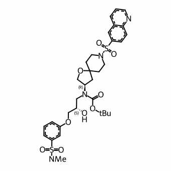 CNS(=O)(=O)c1cccc(OC[C@@H](O)CN(C(=O)OC(C)(C)C)[C@H]2COC3(CCN(S(=O)(=O)c4ccc5ncccc5c4)CC3)C2)c1